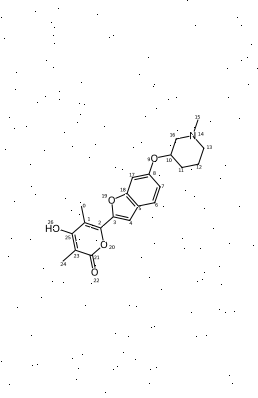 Cc1c(-c2cc3ccc(OC4CCCN(C)C4)cc3o2)oc(=O)c(C)c1O